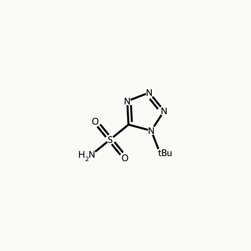 CC(C)(C)n1nnnc1S(N)(=O)=O